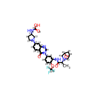 CC(C(=O)Nc1cc(-n2cnc3cc(N4CCC(NC(=O)O)C4)ccc3c2=O)ccc1OC(F)(F)F)N1CC2CC(C1)O2